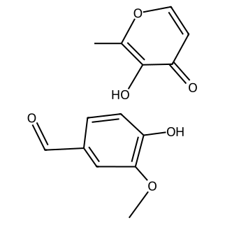 COc1cc(C=O)ccc1O.Cc1occc(=O)c1O